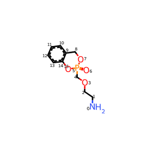 NCCOCP1(=O)OCc2ccccc2O1